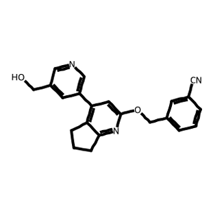 N#Cc1cccc(COc2cc(-c3cncc(CO)c3)c3c(n2)CCC3)c1